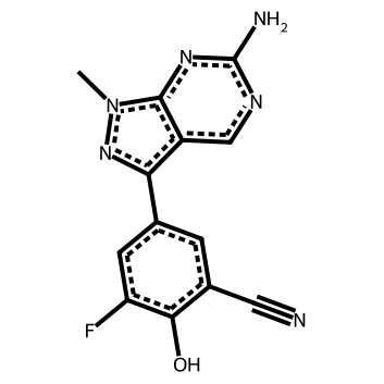 Cn1nc(-c2cc(F)c(O)c(C#N)c2)c2cnc(N)nc21